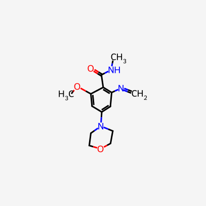 C=Nc1cc(N2CCOCC2)cc(OC)c1C(=O)NC